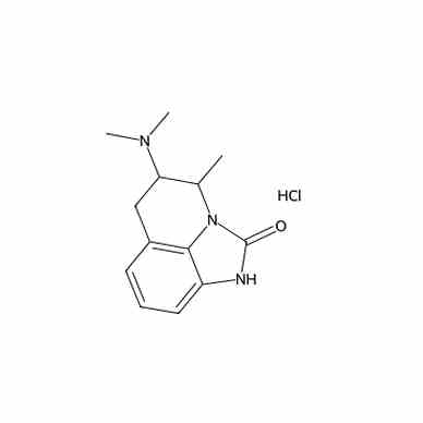 CC1C(N(C)C)Cc2cccc3[nH]c(=O)n1c23.Cl